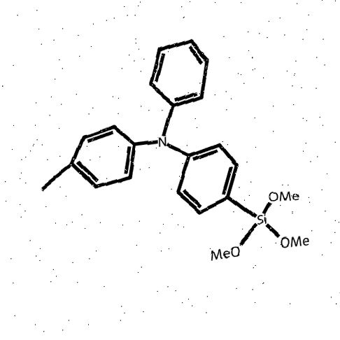 CO[Si](OC)(OC)c1ccc(N(c2ccccc2)c2ccc(C)cc2)cc1